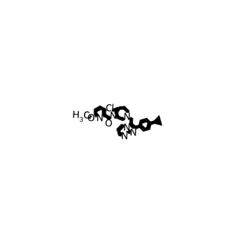 COc1ccc(Cl)c(C(=O)N2CC3CCN(Cc4c(-c5ccc(C6CC6)cc5)nc5ncccn45)CC2C3)n1